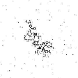 CCOC(=O)c1oc2cnccc2c1Nc1ccc2c(N(OC(C)(C)C)C(=O)OC(C)(C)C)noc2c1